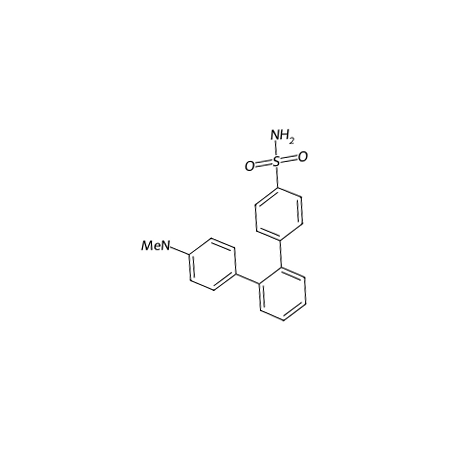 CNc1ccc(-c2ccccc2-c2ccc(S(N)(=O)=O)cc2)cc1